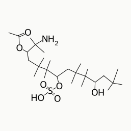 CC(=O)OC(CC(C)(C)C(C)(C)C(CC(C)(C)C(C)(C)C(O)CC(C)(C)C)OS(=O)(=O)O)C(C)(C)N